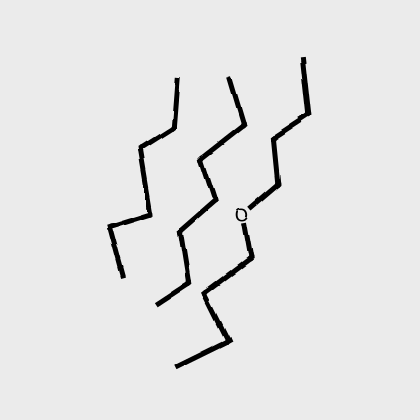 CCCCCC.CCCCCCC.CCCCOCCCC